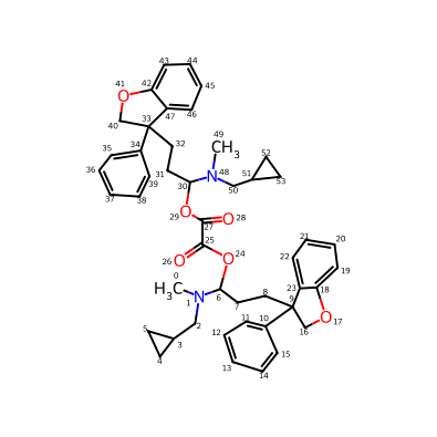 CN(CC1CC1)C(CCC1(c2ccccc2)COc2ccccc21)OC(=O)C(=O)OC(CCC1(c2ccccc2)COc2ccccc21)N(C)CC1CC1